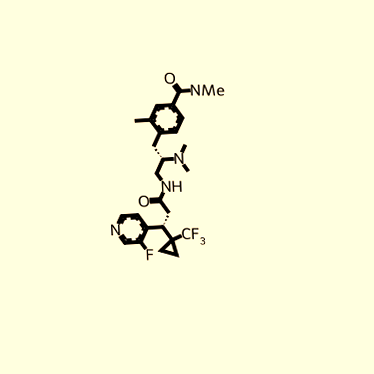 CNC(=O)c1ccc(C[C@@H](CNC(=O)C[C@@H](c2ccncc2F)C2(C(F)(F)F)CC2)N(C)C)c(C)c1